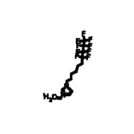 C=C[n+]1ccn(CCCCCCC(F)(F)C(F)(F)C(F)(F)C(F)(F)F)c1